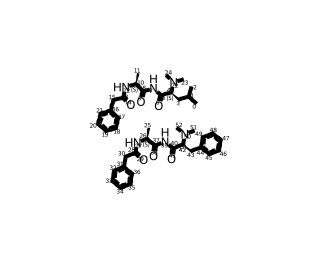 CC(C)C[C@@H](C(=O)NC(=O)[C@H](C)NC(=O)Cc1ccccc1)N(C)C.C[C@H](NC(=O)Cc1ccccc1)C(=O)NC(=O)[C@H](Cc1ccccc1)N(C)C